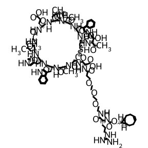 CC(C)C[C@@H]1NC(=O)[C@H](Cc2c[nH]cn2)NC(=O)[C@H](Cc2c[nH]c3ccccc23)NC(=O)[C@H](C)NC(=O)[C@@H](NC(=O)[C@@H](NC(=O)CCOCCOCCOCCNC(=O)[C@@H](CCCNC(=N)N)NC(=O)OC[C@@H]2[C@@H]3CCC#CCC[C@@H]32)C(=O)O)CSSC[C@@H](C(=O)N[C@H](C(=O)O)[C@@H](C)O)NC(=O)[C@H](Cc2c[nH]c3ccccc23)NC(=O)[C@H](C(C)C)NC(=O)[C@H](CC(C)C)NC(=O)[C@H](CCC(=O)O)NC(=O)CNC1=O